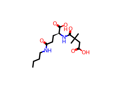 CCCCNC(=O)CC[C@H](NC(=O)C(C)(C)CC(=O)O)C(=O)O